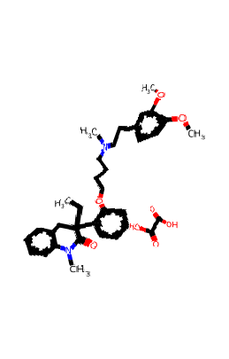 CCC1(c2ccccc2OCCCCN(C)CCc2ccc(OC)c(OC)c2)Cc2ccccc2N(C)C1=O.O=C(O)C(=O)O